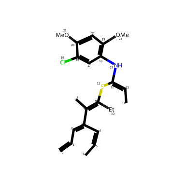 C=C/C=C(\C=C/C)C(/C)=C(\CC)S/C(=C\C)Nc1cc(Cl)c(OC)cc1OC